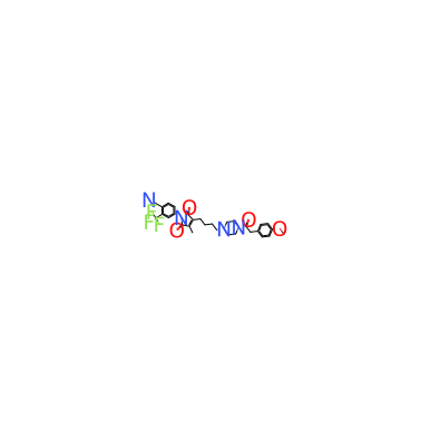 COc1ccc(CC(=O)N2CCN(CCCCC3=C(C)C(=O)N(c4ccc(C#N)c(C(F)(F)F)c4)C3=O)CC2)cc1